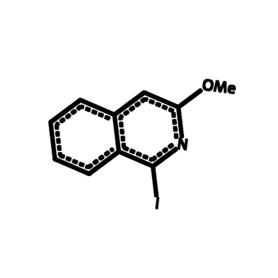 COc1cc2ccccc2c(I)n1